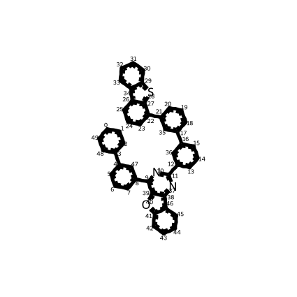 c1ccc(-c2cccc(-c3nc(-c4cccc(-c5cccc(-c6cccc7c6sc6ccccc67)c5)c4)nc4c3oc3ccccc34)c2)cc1